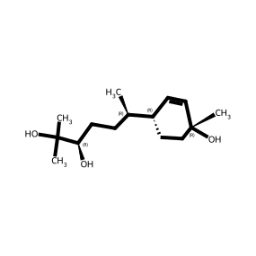 C[C@H](CC[C@@H](O)C(C)(C)O)[C@@H]1C=C[C@](C)(O)CC1